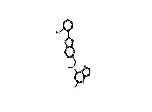 CCc1cc(N(C)Cc2ccc3oc(-c4ccccc4C#N)cc3c2)n2nccc2n1